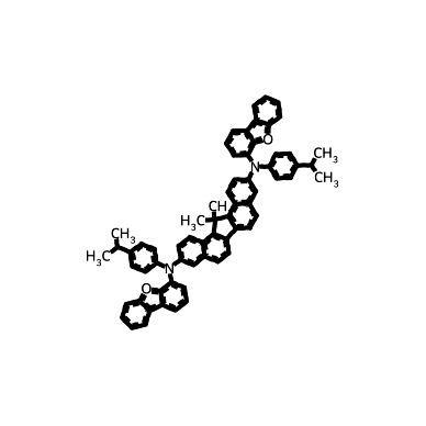 CC(C)c1ccc(N(c2ccc3c4c(ccc3c2)-c2ccc3cc(N(c5ccc(C(C)C)cc5)c5cccc6c5oc5ccccc56)ccc3c2C4(C)C)c2cccc3c2oc2ccccc23)cc1